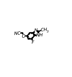 Cc1nc2cc(OCC#N)cc(F)c2[nH]1